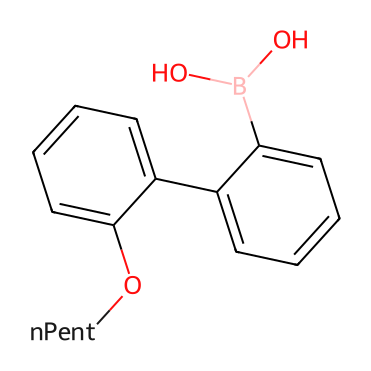 CCCCCOc1ccccc1-c1ccccc1B(O)O